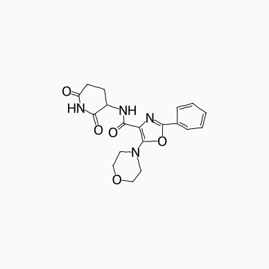 O=C1CCC(NC(=O)c2nc(-c3ccccc3)oc2N2CCOCC2)C(=O)N1